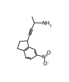 CC(N)C#CC1CCc2ccc([N+](=O)[O-])cc21